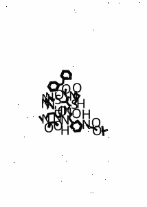 CCN1CCN(C(=O)NC(C(=O)NC2S[C@H]3CC(=O)N3C(C(=O)OC(c3ccccc3)c3ccccc3)=C2CSc2nnnn2C)c2cccc(NCC(=O)OC(C)(C)C)c2)C(=O)C1=O